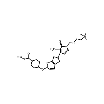 CC(C)(C)OC(=O)N1CCC(Oc2ccc3c(n2)CN(c2cnn(COCC[Si](C)(C)C)c(=O)c2C(F)(F)F)C3)CC1